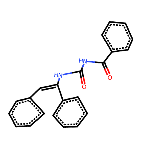 O=C(NC(=O)c1ccccc1)NC(=Cc1ccccc1)c1ccccc1